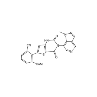 COc1cccc(C#N)c1-c1cc2[nH]c(=O)n(-c3cncc4cnn(C)c34)c(=O)c2s1